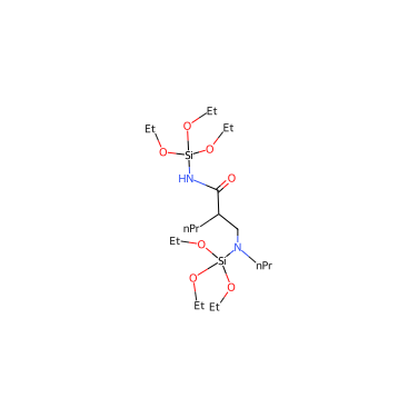 CCCC(CN(CCC)[Si](OCC)(OCC)OCC)C(=O)N[Si](OCC)(OCC)OCC